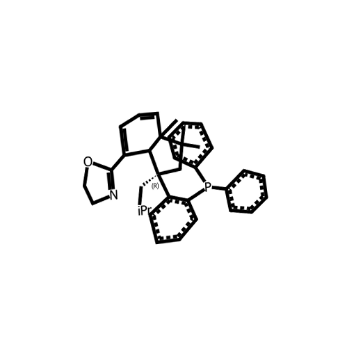 CC(C)C[C@@]1(c2ccccc2P(c2ccccc2)c2ccccc2)CC(C)(C)C2(C)C=CC=C(C3=NCCO3)C21